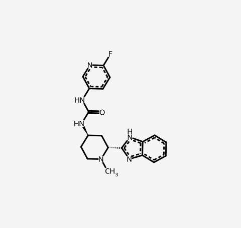 CN1CC[C@@H](NC(=O)Nc2ccc(F)nc2)C[C@@H]1c1nc2ccccc2[nH]1